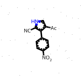 CC(=O)c1c[nH]c(C#N)c1-c1ccc([N+](=O)[O-])cc1